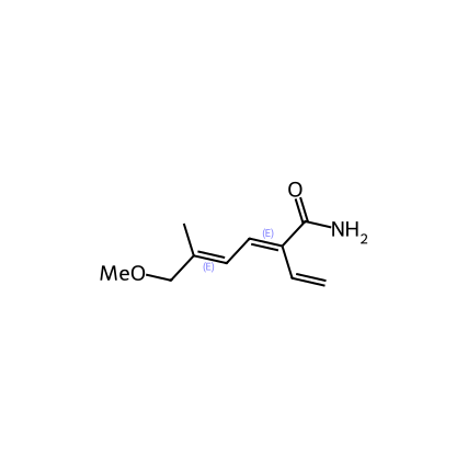 C=C/C(=C\C=C(/C)COC)C(N)=O